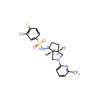 O=S(=O)(N[C@H]1CC[C@@H]2CN(c3cccc(C(F)(F)F)n3)C[C@@H]21)c1ccc(F)c(Cl)c1